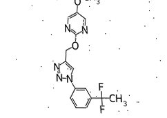 COc1cnc(OCc2cn(-c3cccc(C(C)(F)F)c3)nn2)nc1